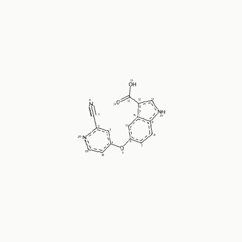 N#Cc1cc(Oc2ccc3[nH]cc(C(=O)O)c3c2)ccn1